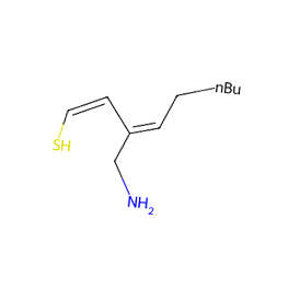 CCCCC/C=C(\C=C/S)CN